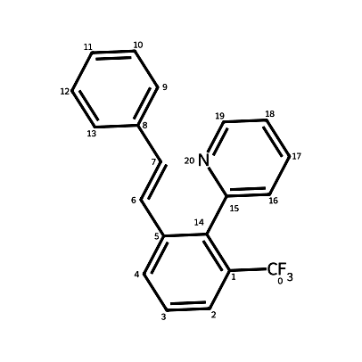 FC(F)(F)c1cccc(C=Cc2ccccc2)c1-c1ccccn1